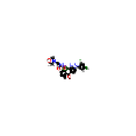 Cc1ccc(S(=O)(=O)NCCN2CCOCC2)cc1C(=O)c1ccc(Nc2ccc(F)cc2F)cc1Cl